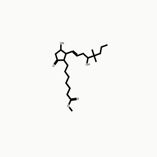 CCCC(C)(C)C(O)CC=CC1C(O)CC(=O)C1CCCCCCC(=O)OC